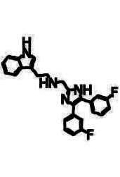 Fc1cccc(-c2nc(CNCCc3c[nH]c4ccccc34)[nH]c2-c2cccc(F)c2)c1